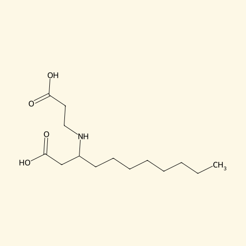 CCCCCCCCC(CC(=O)O)NCCC(=O)O